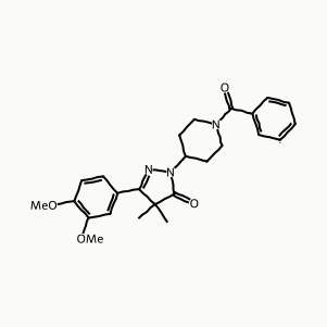 COc1ccc(C2=NN(C3CCN(C(=O)c4c[c]ccc4)CC3)C(=O)C2(C)C)cc1OC